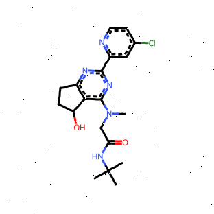 CN(CC(=O)NC(C)(C)C)c1nc(-c2cc(Cl)ccn2)nc2c1C(O)CC2